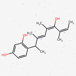 C\C=C(C)/C(O)=C(C)\C=C(/C)C(C)c1ccc(O)cc1O